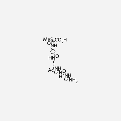 CS[C@@H](CC(=O)O)C(=O)NCC1CCC(C(=O)NCCCCC(NC(=O)CNC(=O)CNC(=O)CN)C(C)=O)CC1